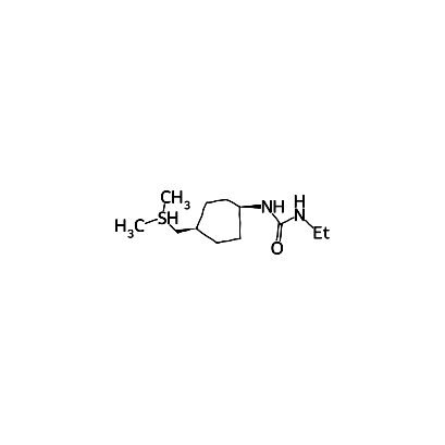 CCNC(=O)N[C@H]1CC[C@@H](C[SH](C)C)CC1